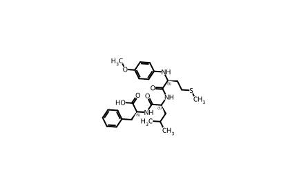 COc1ccc(N[C@@H](CCSC)C(=O)N[C@@H](CC(C)C)C(=O)N[C@@H](Cc2ccccc2)C(=O)O)cc1